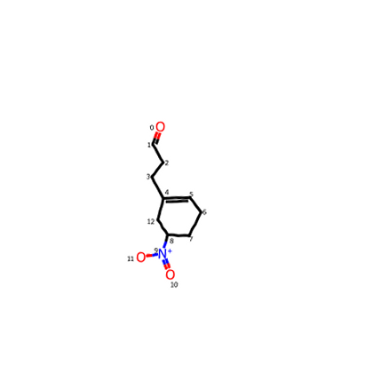 O=CCCC1=CCCC([N+](=O)[O-])C1